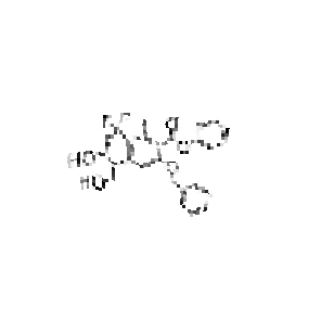 Cc1c(C(=O)Oc2ccccc2)c(OCc2ccccc2)cc(C(CO)CO)c1C(F)(F)F